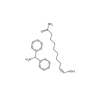 CCCCCCCC/C=C\CCCCCCCC(N)=O.NC(c1ccccc1)c1ccccc1